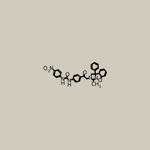 CC1=NC(c2ccccc2)(C2C=CC=CC2=O)CN1CC(=O)c1ccc(NC(=O)Nc2ccc([N+](=O)[O-])cc2)cc1